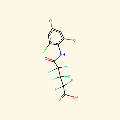 O=C(O)C(F)(F)C(F)(F)C(F)(F)C(=O)Nc1c(Cl)cc(Cl)cc1Cl